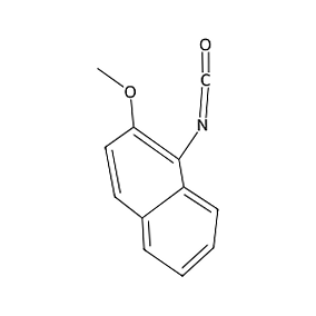 COc1ccc2ccccc2c1N=C=O